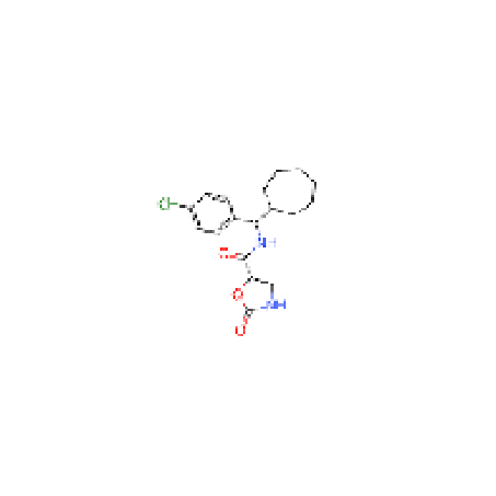 O=C1NC[C@@H](C(=O)NC(c2ccc(Cl)cc2)C2CCCCCC2)O1